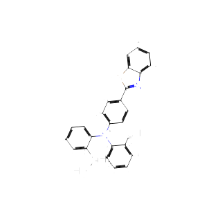 C[SiH2]c1ccccc1N(c1ccc(-c2nc3ccccc3s2)cc1)c1ccccc1C